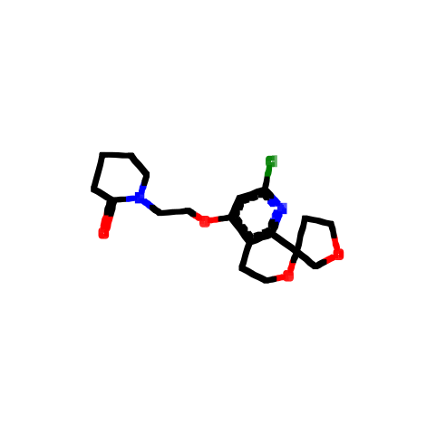 O=C1CCCCN1CCOc1cc(Cl)nc2c1CCOC21CCOC1